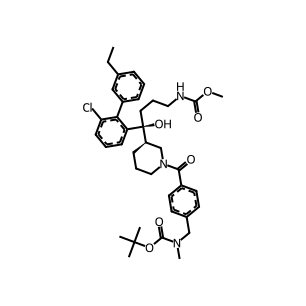 CCc1cccc(-c2c(Cl)cccc2[C@](O)(CCCNC(=O)OC)[C@@H]2CCCN(C(=O)c3ccc(CN(C)C(=O)OC(C)(C)C)cc3)C2)c1